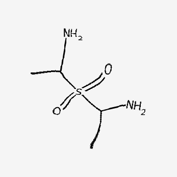 CC(N)S(=O)(=O)C(C)N